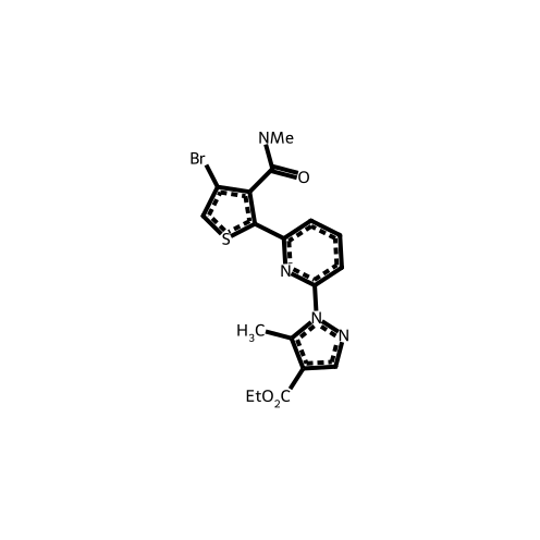 CCOC(=O)c1cnn(-c2cccc(-c3scc(Br)c3C(=O)NC)n2)c1C